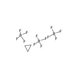 C1CC1.F[B-](F)(F)F.F[B-](F)(F)F.F[B-](F)(F)F